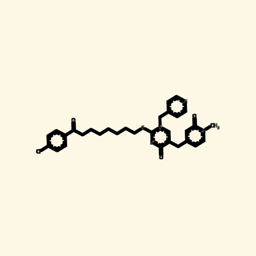 Cn1ccc(Cc2cn(Cc3ccncc3)c(SCCCCCCCC(=O)c3ccc(Cl)cc3)nc2=O)cc1=O